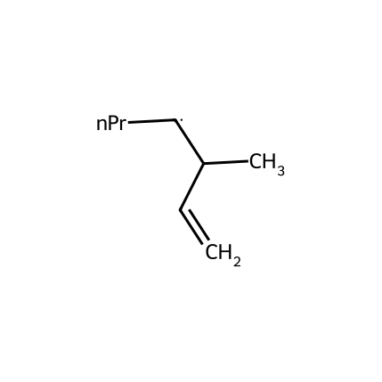 C=CC(C)[CH]CCC